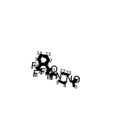 CC(=O)N1CCN(c2ncc(-c3ccccc3C(F)(F)F)o2)CC1